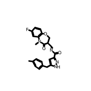 Cc1ccc(Cc2cc(C(=O)/N=C/C3COc4ccc(F)cc4N(C)C3=O)n[nH]2)cc1